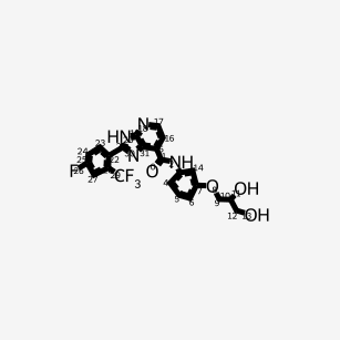 O=C(Nc1cccc(OCC(O)CO)c1)c1ccnc2[nH]c(-c3ccc(F)cc3C(F)(F)F)nc12